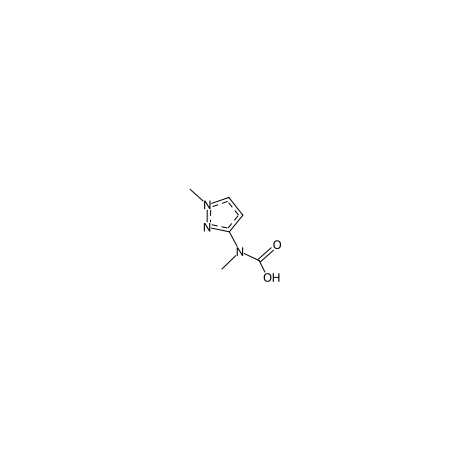 CN(C(=O)O)c1ccn(C)n1